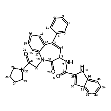 O=C(NC1C=C(c2ccccc2)c2ccccc2N(CC(=O)N2CCCC2)C1=O)c1cc2ccccc2[nH]1